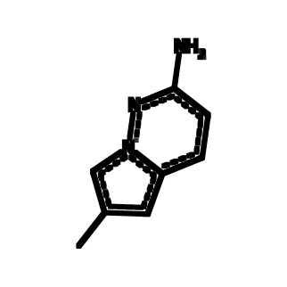 Cc1cc2ccc(N)nn2c1